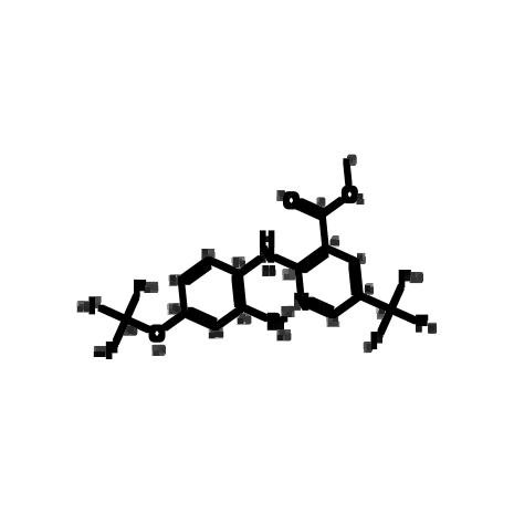 COC(=O)c1cc(C(F)(F)F)cnc1Nc1ccc(OC(F)(F)F)cc1Br